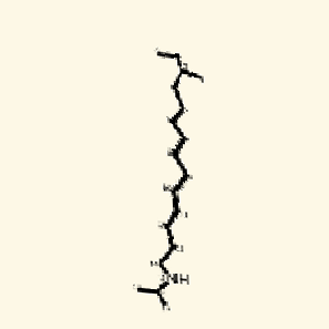 CCC(C)CCCCCCCCCCCNC(C)C